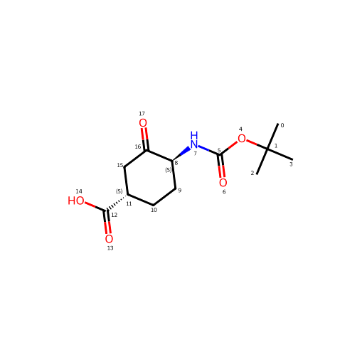 CC(C)(C)OC(=O)N[C@H]1CC[C@H](C(=O)O)CC1=O